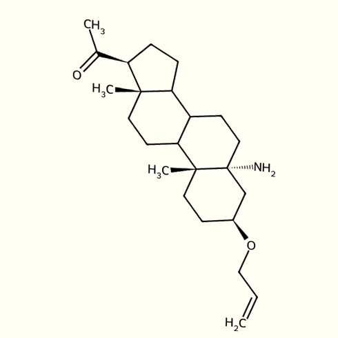 C=CCO[C@H]1CC[C@]2(C)C3CC[C@@]4(C)C(CC[C@@H]4C(C)=O)C3CC[C@@]2(N)C1